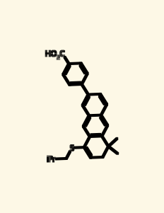 CC(C)CSC1=CCC(C)(C)c2cc3ccc(-c4ccc(C(=O)O)cc4)cc3cc21